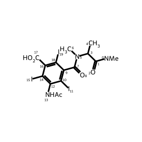 CNC(=O)C(C)N(C)C(=O)c1c(I)c(NC(C)=O)c(I)c(C(=O)O)c1I